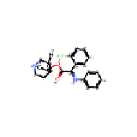 O=C(O[C@H]1CN2CCC1CC2)/C(=N/c1ccccc1)c1ccccc1F